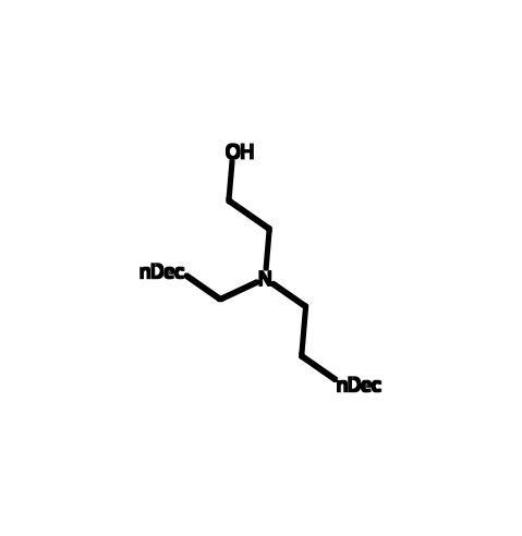 CCCCCCCCCCCCN(CCO)CCCCCCCCCCC